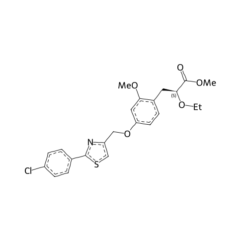 CCO[C@@H](Cc1ccc(OCc2csc(-c3ccc(Cl)cc3)n2)cc1OC)C(=O)OC